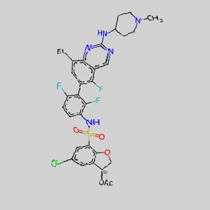 CCc1cc(-c2c(F)ccc(NS(=O)(=O)c3cc(Cl)cc4c3OC[C@H]4OC(C)=O)c2F)c(F)c2cnc(NC3CCN(C)CC3)nc12